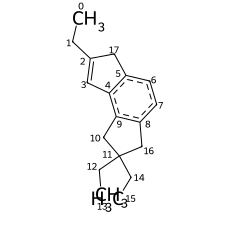 CCC1=Cc2c(ccc3c2CC(CC)(CC)C3)C1